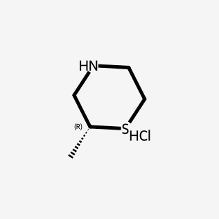 C[C@@H]1CNCCS1.Cl